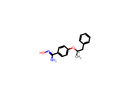 C[C@H](Cc1ccccc1)Oc1ccc(/C(N)=N/O)cc1